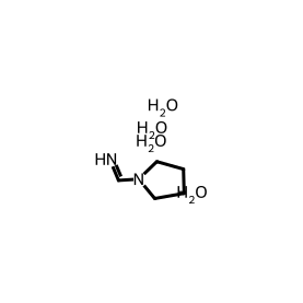 N=CN1CCCC1.O.O.O.O